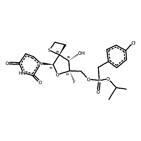 CC(C)OP(=O)(Cc1ccc(Cl)cc1)OC[C@@]1(F)O[C@@H](n2ccc(=O)[nH]c2=O)[C@@]2(CCS2)[C@@H]1O